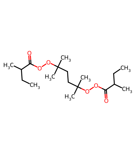 CCC(C)C(=O)OOC(C)(C)CCC(C)(C)OOC(=O)C(C)CC